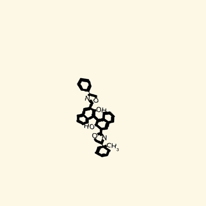 CC1([C@@H]2COC(C3C=c4ccccc4=C(c4c(O)c(C5=N[C@H](c6ccccc6)CO5)cc5ccccc45)C3O)=N2)C=CC=CC1